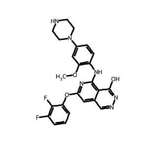 COc1cc(N2CCNCC2)ccc1Nc1nc(Oc2cccc(F)c2F)cc2cnnc(O)c12